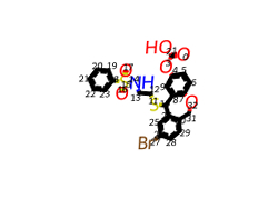 O=C(O)Oc1ccc2c(c1)C(SCCNS(=O)(=O)c1ccccc1)c1cc(Br)ccc1CO2